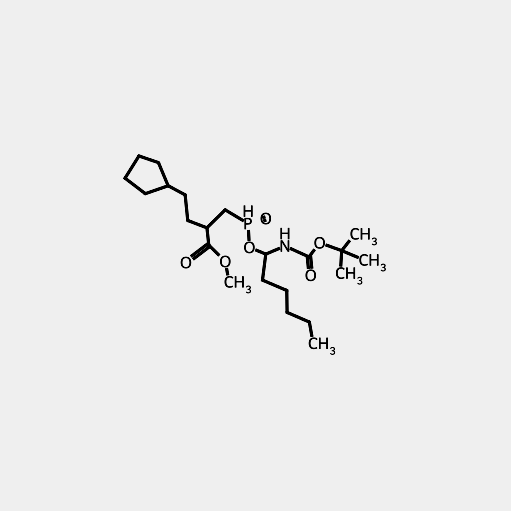 CCCCCC(NC(=O)OC(C)(C)C)O[PH](=O)CC(CCC1CCCC1)C(=O)OC